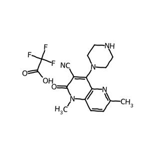 Cc1ccc2c(n1)c(N1CCNCC1)c(C#N)c(=O)n2C.O=C(O)C(F)(F)F